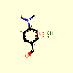 CN(C)c1ccc(C=O)cc1.Cl.O